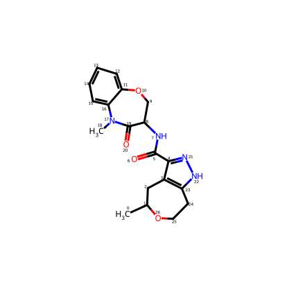 CC1Cc2c(C(=O)NC3COc4ccccc4N(C)C3=O)n[nH]c2CCO1